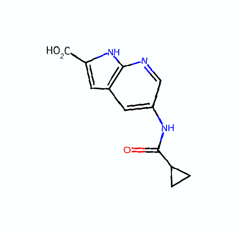 O=C(O)c1cc2cc(NC(=O)C3CC3)cnc2[nH]1